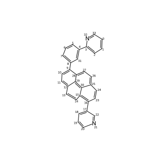 c1ccc(-c2cccc(-c3ccc4ccc5c(-c6cccnc6)ccc6ccc3c4c65)c2)nc1